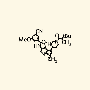 COc1cc(C#N)cc(C(=O)Nc2cnc3c(c(C4CCN(C(=O)C(C)C(C)(C)C)CC4)cn3C)c2C)c1